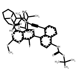 CSc1nc2c3c(nc(-c4ccc(NC(=O)OC(C)(C)C)c5cccc(C#C[Si](C(C)C)(C(C)C)C(C)C)c45)c(F)c3n1)OC(C)C1C3CCC(CN21)N3C(=O)O